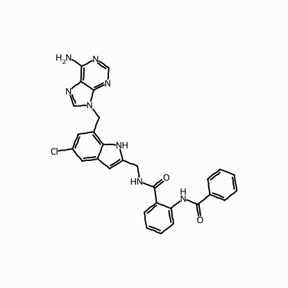 Nc1ncnc2c1ncn2Cc1cc(Cl)cc2cc(CNC(=O)c3ccccc3NC(=O)c3ccccc3)[nH]c12